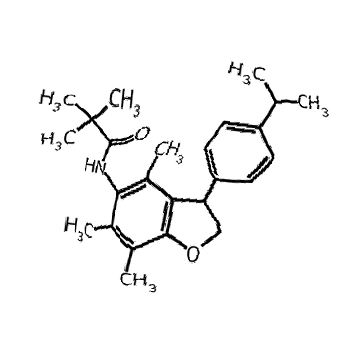 Cc1c(C)c2c(c(C)c1NC(=O)C(C)(C)C)C(c1ccc(C(C)C)cc1)CO2